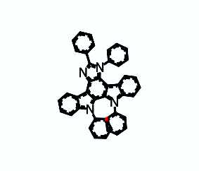 c1ccc(-c2nc3c4c5ccccc5n(-c5ccccc5)c4c4c(c5ccccc5n4-c4ccccc4)c3n2-c2ccccc2)cc1